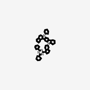 c1ccc(-c2nc(-c3ccccc3)nc(-c3cccc4cc(-n5c6ccccc6c6cc7c(cc65)c5c6ccccc6ccc5n7-c5ccccc5)ccc34)n2)cc1